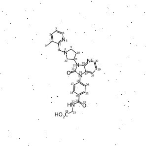 Cc1cccnc1CN1CCC(n2c(=O)n(-c3ccc(C(=O)NCC(=O)O)cc3)c3cccnc32)C1